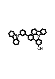 N#Cc1ccc(-n2c3ccccc3c3ccccc32)c(-c2ccc(-c3cccc(-n4c5ccccc5c5ccccc54)c3)cc2)c1